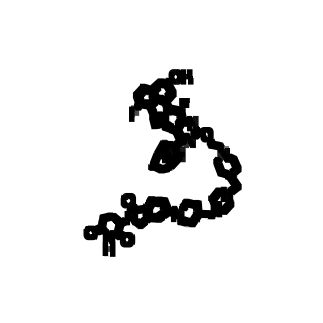 C#Cc1c(F)ccc2cc(O)cc(-c3ncc4c(N5CC6CCC(C5)N6)nc(OCCN5CCC(CN6CCN(CC7CCN(c8ccc9c(c8)CN(C8CCC(=O)NC8=O)C9=O)CC7)CC6)CC5)nc4c3F)c12